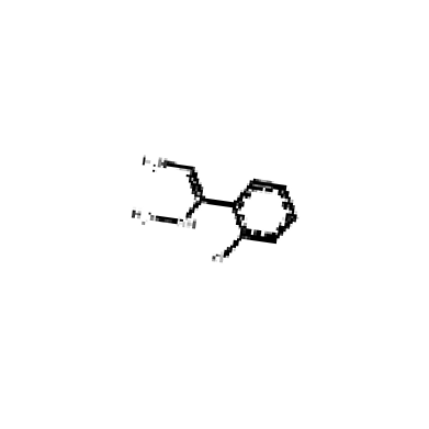 N/C=C(\NN)c1ccccc1Cl